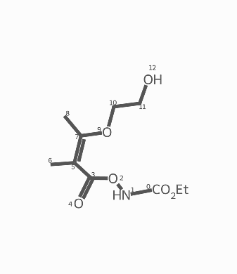 CCOC(=O)NOC(=O)C(C)=C(C)OCCO